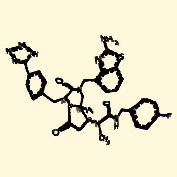 CN(C(=O)NCc1ccc(F)cc1)N1CC(=O)N2[C@@H](Cc3ccc(-c4nnn[nH]4)cc3)C(=O)N(Cc3cccc4sc(N)nc34)C[C@@H]21